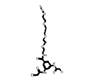 [N-]=[N+]=NCCOCCOCCOCCNC(=O)c1cc(NC(=O)CCl)cc(NC(=O)CCl)c1